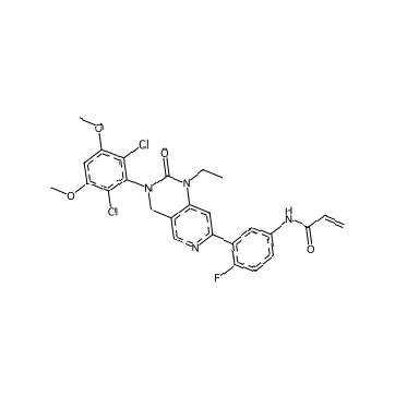 C=CC(=O)Nc1ccc(F)c(-c2cc3c(cn2)CN(c2c(Cl)c(OC)cc(OC)c2Cl)C(=O)N3CC)c1